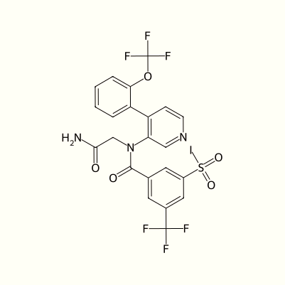 NC(=O)CN(C(=O)c1cc(C(F)(F)F)cc(S(=O)(=O)I)c1)c1cnccc1-c1ccccc1OC(F)(F)F